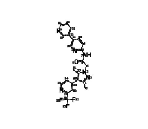 Cc1nn(CC(=O)Nc2ccc(-c3cccnc3)cn2)c(C)c1-c1ccnc(C(F)(F)F)c1